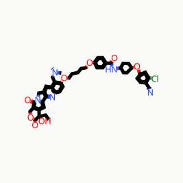 CC[C@@]1(O)C(=O)OCc2c1cc1n(c2=O)Cc2cc3c(CN(C)C)c(OCCCCCOc4ccc(C(=O)NC5CCC(Oc6ccc(C#N)c(Cl)c6)CC5)cc4)ccc3nc2-1